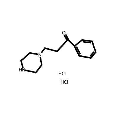 Cl.Cl.O=C(CCN1CCNCC1)c1ccccc1